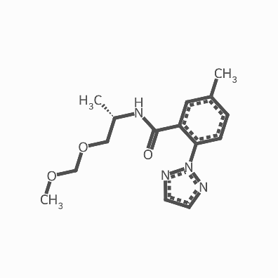 COCOC[C@H](C)NC(=O)c1cc(C)ccc1-n1nccn1